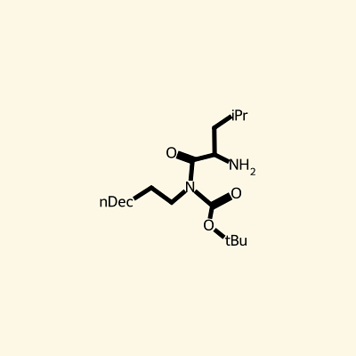 CCCCCCCCCCCCN(C(=O)OC(C)(C)C)C(=O)C(N)CC(C)C